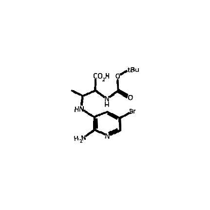 CC(Nc1cc(Br)cnc1N)C(NC(=O)OC(C)(C)C)C(=O)O